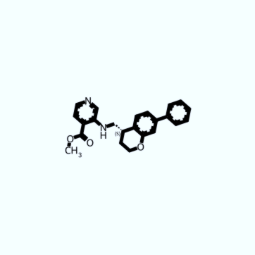 COC(=O)c1ccncc1NC[C@H]1CCOc2cc(-c3ccccc3)ccc21